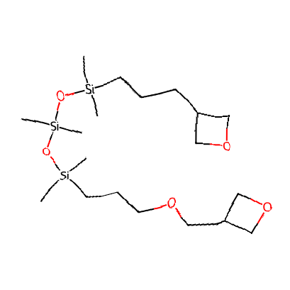 C[Si](C)(CCCOCC1COC1)O[Si](C)(C)O[Si](C)(C)CCCC1COC1